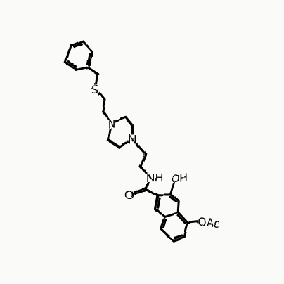 CC(=O)Oc1cccc2cc(C(=O)NCCN3CCN(CCSCc4ccccc4)CC3)c(O)cc12